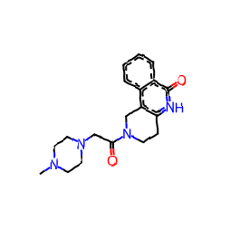 CN1CCN(CC(=O)N2CCc3[nH]c(=O)c4ccccc4c3C2)CC1